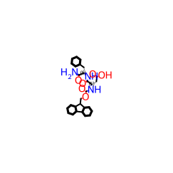 NC(=O)[C@H](Cc1ccccc1)NC(=O)[C@H](CC(=O)O)NC(=O)OCC1c2ccccc2-c2ccccc21